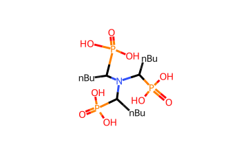 CCCCC(N(C(CCCC)P(=O)(O)O)C(CCCC)P(=O)(O)O)P(=O)(O)O